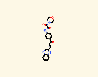 O=C(Nc1ccc(C(=O)/C=C/c2cnc3ccccc3n2)cc1)C(=O)N1CCOCC1